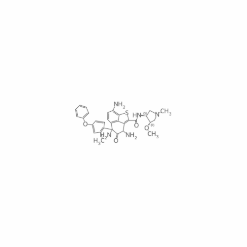 CO[C@@H]1CN(C)C[C@@H]1NC(=O)c1sc2c(N)ccc3c2c1C(N)C(=O)C3(N)c1ccc(Oc2ccccc2)cc1C